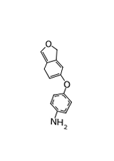 Nc1ccc(OC2=CCC3=COCC3=C2)cc1